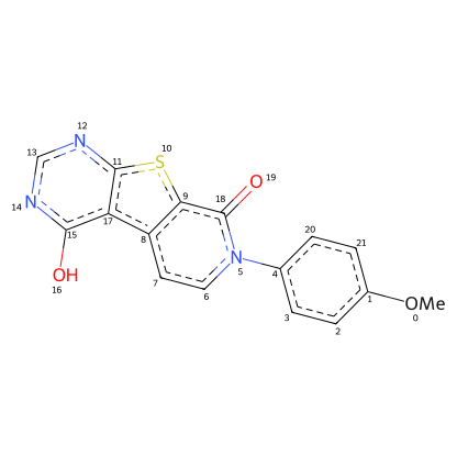 COc1ccc(-n2ccc3c(sc4ncnc(O)c43)c2=O)cc1